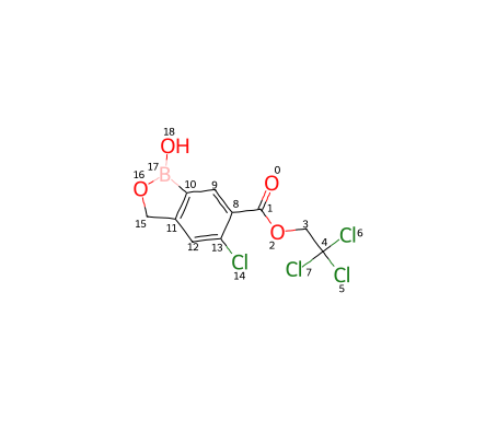 O=C(OCC(Cl)(Cl)Cl)c1cc2c(cc1Cl)COB2O